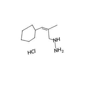 CC(=CC1CCCCC1)CNN.Cl